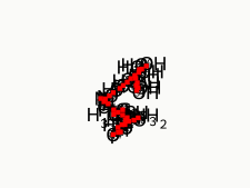 CN[C@@H](CCCCNC(=O)c1cnnn1CCOCCOCCOCCOCCN(C[C@H](O)[C@@H](O)[C@H](O)[C@H](O)CO)C[C@H](O)[C@@H](O)[C@H](O)[C@H](O)CO)C(=O)N[C@H](C(=O)N[C@@H](CCCNC(N)=O)C(=O)Nc1ccc(COI)cc1)C(C)C